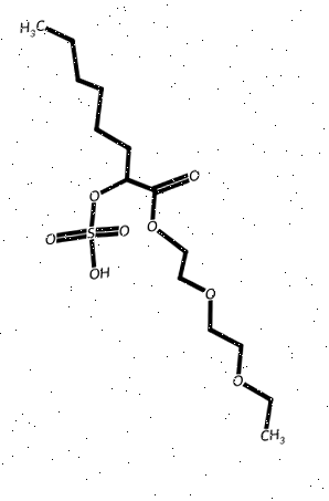 CCCCCCC(OS(=O)(=O)O)C(=O)OCCOCCOCC